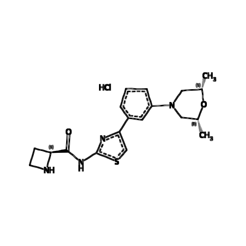 C[C@@H]1CN(c2cccc(-c3csc(NC(=O)[C@@H]4CCN4)n3)c2)C[C@H](C)O1.Cl